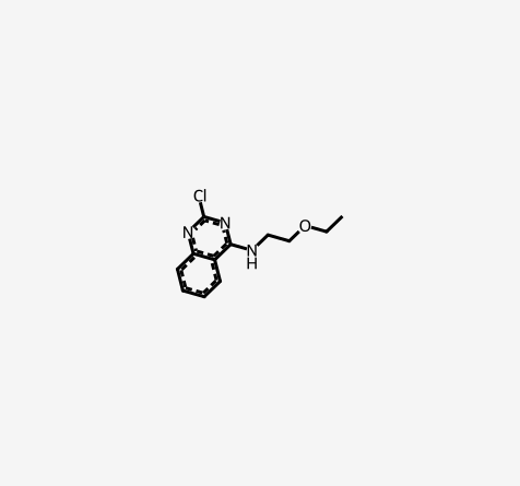 CCOCCNc1nc(Cl)nc2ccccc12